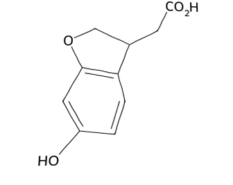 O=C(O)CC1COc2cc(O)ccc21